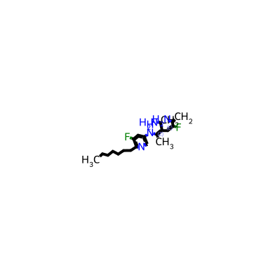 C=C(N)C(/C=C(/F)C(=C)N)=C(/C)Nc1cnc(CCCCCCC)c(F)c1